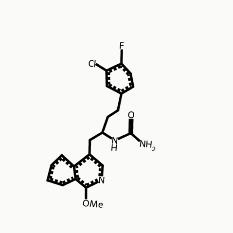 COc1ncc(CC(CCc2ccc(F)c(Cl)c2)NC(N)=O)c2ccccc12